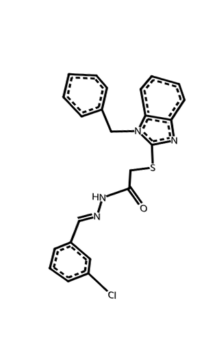 O=C(CSc1nc2ccccc2n1Cc1ccccc1)N/N=C/c1cccc(Cl)c1